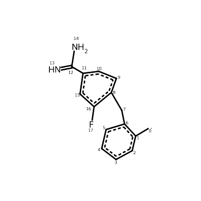 [CH2]c1ccccc1Cc1ccc(C(=N)N)cc1F